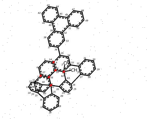 CC1(C)c2ccccc2C2(c3ccccc3-c3ccccc32)c2cccc(-c3ccccc3-c3cc(-c4ccc5c6ccccc6c6ccccc6c5c4)nc(-c4ccccc4)n3)c21